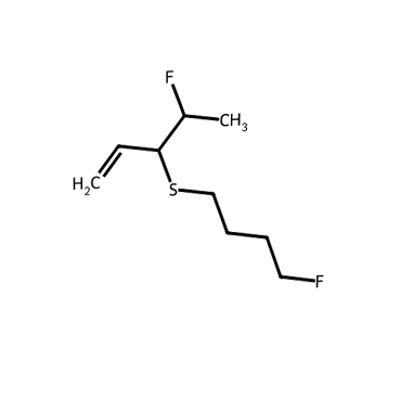 C=CC(SCCCCF)C(C)F